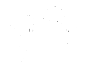 O=C(Nc1cccc2cccnc12)c1cc(N2CCCCCC2)ccn1